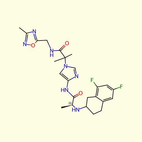 Cc1noc(CNC(=O)C(C)(C)n2cnc(NC(=O)[C@H](C)NC3CCc4cc(F)cc(F)c4C3)c2)n1